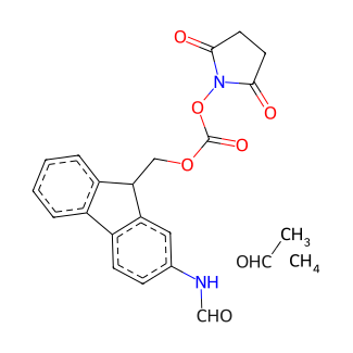 C.CC=O.O=CNc1ccc2c(c1)C(COC(=O)ON1C(=O)CCC1=O)c1ccccc1-2